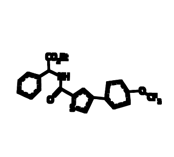 CCOC(=O)C(NC(=O)c1cc(-c2ccc(OC(F)(F)F)cc2)cs1)c1ccccc1